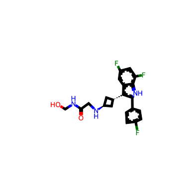 O=C(CN[C@H]1C[C@H](c2c(-c3ccc(F)cc3)[nH]c3c(F)cc(F)cc32)C1)NCO